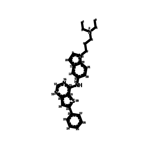 CCN(CC)CCCn1ccc2cc(Nc3ncnc4cc(-c5ccccc5)sc34)ccc21